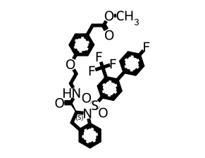 COC(=O)Cc1ccc(OCCNC(=O)[C@@H]2Cc3ccccc3N2S(=O)(=O)c2ccc(-c3ccc(F)cc3)c(C(F)(F)F)c2)cc1